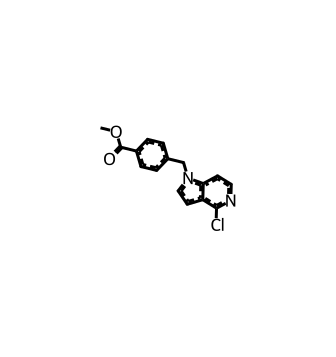 COC(=O)c1ccc(Cn2ccc3c(Cl)nccc32)cc1